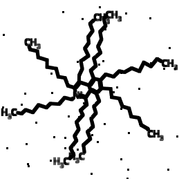 CCCCCCCCCCc1c(CCCCCCCCCC)c(CCCCCCCCCC)c2c(CCCCCCCCCC)[n+](CCCCCCCCCC)c(CCCCCCCCCC)c(CCCCCCCCCC)c2c1CCCCCCCCCC